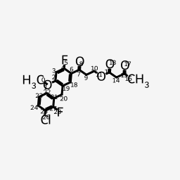 COc1cc(F)c(C(=O)CCOC(=O)CC(C)=O)cc1Cc1cccc(Cl)c1F